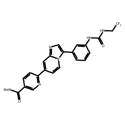 CNC(=O)c1ccc(-c2ccn3c(-c4cccc(NC(=O)NCC(F)(F)F)c4)cnc3c2)nc1